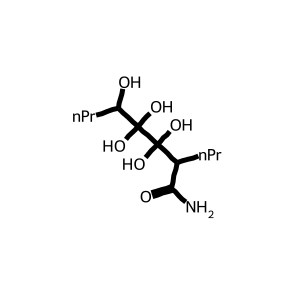 CCCC(O)C(O)(O)C(O)(O)C(CCC)C(N)=O